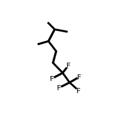 CC(C)C(C)CCC(F)(F)C(F)(F)F